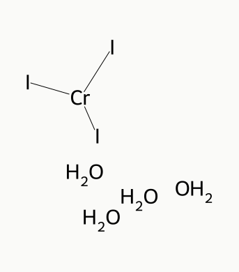 O.O.O.O.[I][Cr]([I])[I]